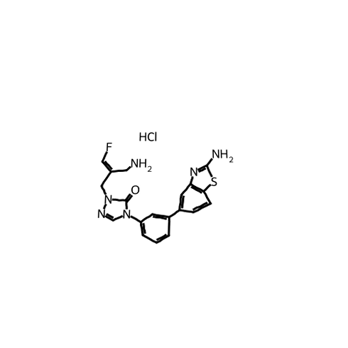 Cl.NC/C(=C\F)Cn1ncn(-c2cccc(-c3ccc4sc(N)nc4c3)c2)c1=O